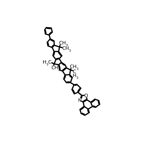 CC1(C)c2cc(-c3ccccc3)ccc2-c2cc3c(cc21)-c1cc2c(cc1C3(C)C)-c1ccc(-c3ccc(-c4nc5c6ccccc6c6ccccc6c5o4)cc3)cc1C2(C)C